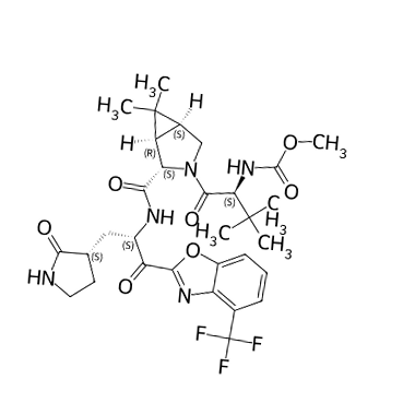 COC(=O)N[C@H](C(=O)N1C[C@H]2[C@@H]([C@H]1C(=O)N[C@@H](C[C@@H]1CCNC1=O)C(=O)c1nc3c(C(F)(F)F)cccc3o1)C2(C)C)C(C)(C)C